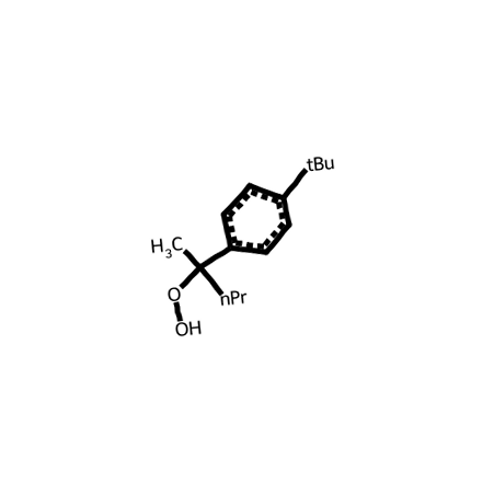 CCCC(C)(OO)c1ccc(C(C)(C)C)cc1